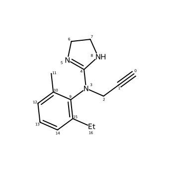 C#CCN(C1=NCCN1)c1c(C)cccc1CC